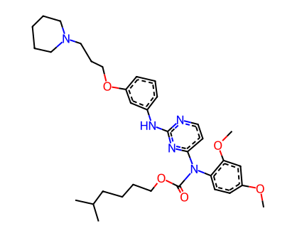 COc1ccc(N(C(=O)OCCCCC(C)C)c2ccnc(Nc3cccc(OCCCN4CCCCC4)c3)n2)c(OC)c1